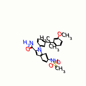 COc1cccc(C(C)(C)c2cccc(-n3c(C(N)=O)cc4ccc(NS(C)(=O)=O)cc43)c2)c1